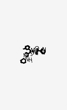 Cc1cccc(-c2nc(N(C)C(=O)c3cccnc3)sc2-c2ccnc(NC3CCCCC3)c2)c1